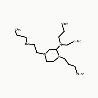 CCCCCCCCCCCCCN1CCN(CCNCCCCCCCCCCCC)CC1N(CCCCCCCCCCC)CCCCCCCCCCCC